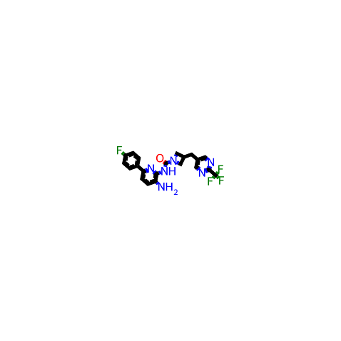 Nc1ccc(-c2ccc(F)cc2)nc1NC(=O)N1CC(Cc2cnc(C(F)(F)F)nc2)C1